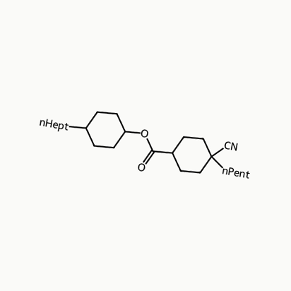 CCCCCCCC1CCC(OC(=O)C2CCC(C#N)(CCCCC)CC2)CC1